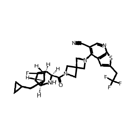 N#Cc1cnc2sc(CC(F)(F)F)cc2c1N1CC2(CN(C(=O)[C@H]3N[C@H]4CC[C@@H]3[C@@H](F)[C@H]4CC3CC3)C2)C1